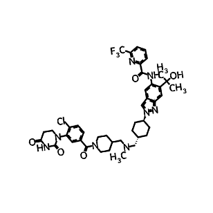 CN(CC1CCN(C(=O)c2ccc(Cl)c(N3CCC(=O)NC3=O)c2)CC1)C[C@H]1CC[C@H](n2cc3cc(NC(=O)c4cccc(C(F)(F)F)n4)c(C(C)(C)O)cc3n2)CC1